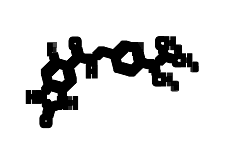 CC(C)N(C)c1ccc(CNC(=O)c2cc3[nH]c(=O)[nH]c3cc2F)cn1